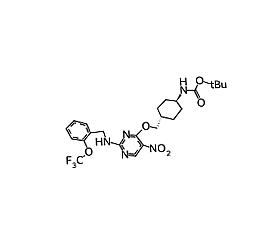 CC(C)(C)OC(=O)N[C@H]1CC[C@H](COc2nc(NCc3ccccc3OC(F)(F)F)ncc2[N+](=O)[O-])CC1